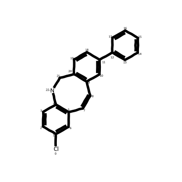 Clc1ccc2c(c1)/C=C\c1cc(-c3ccccc3)ccc1C[N]2